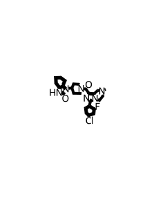 CN1CCn2c(-c3ccc(Cl)cc3F)nc(C(=O)N3CCC(n4c(=O)[nH]c5ccccc54)CC3)c2C1